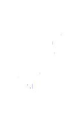 NS(=O)(=O)CCC1CC=CC=[C]1[Ti](=[O])=[O]